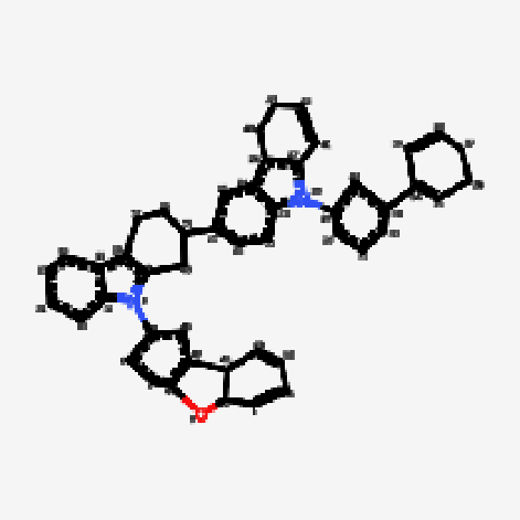 C1=CC2Oc3ccc(-n4c5c(c6ccccc64)CCC(c4ccc6c(c4)c4c(n6-c6cccc(C7=CCCC=C7)c6)C=CCC4)C5)cc3C2C=C1